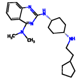 CN(C)c1nc(N[C@H]2CC[C@@H](NCCC3CCCC3)CC2)nc2ccccc12